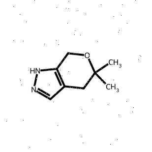 CC1(C)Cc2cn[nH]c2CO1